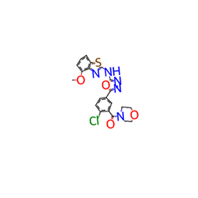 COc1cccc2sc(Nc3nnc(-c4ccc(Cl)c(C(=O)N5CCOCC5)c4)o3)nc12